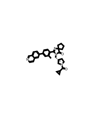 Cc1cc(-c2ccc3cnccc3c2)ccc1C1=NC2(CCCC2)C(=O)N1C[C@@H]1CCN(C(=O)C2CC2)C1